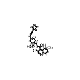 COc1ccc2ncc(Cl)c([C@@H](O)CCC3(CO)CCN(CC#Cc4cncs4)CC3)c2c1